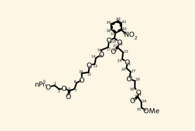 CCCOCCOC(=O)CCOCCOCCOCCOC(OC(=O)CCOCCOCCOC(=O)CCOC)c1ccccc1[N+](=O)[O-]